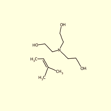 CC=C(C)C.OCCN(CCO)CCO